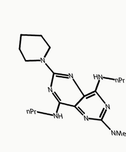 CCCNc1nc(N2CCCCC2)nc2c(NCCC)nc(NC)nc12